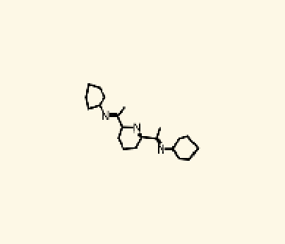 C/C(=N\C1CCCCC1)C1=NC(/C(C)=N/C2CCCCC2)CCC1